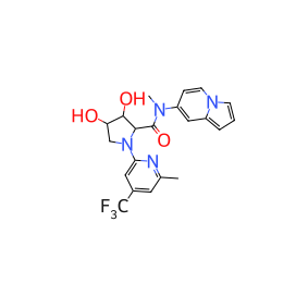 Cc1cc(C(F)(F)F)cc(N2CC(O)C(O)C2C(=O)N(C)c2ccn3cccc3c2)n1